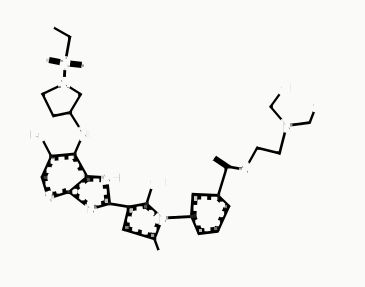 CCN(CC)CCNC(=O)c1cccc(-n2c(C)cc(-c3nc4ncc(Br)c(NC5CCN(S(=O)(=O)CC)C5)c4[nH]3)c2C)c1